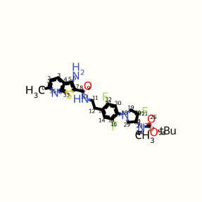 Cc1ccc2c(N)c(C(=O)NCCc3cc(F)c(N4C[C@@H](F)[C@H](N(C)C(=O)OC(C)(C)C)C4)cc3F)sc2n1